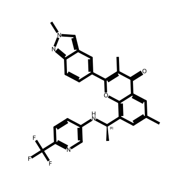 Cc1cc([C@@H](C)Nc2ccc(C(F)(F)F)nc2)c2oc(-c3ccc4nn(C)cc4c3)c(C)c(=O)c2c1